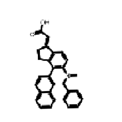 CN(Cc1ccccc1)c1ccc2c(c1-c1ccc3ccccc3c1)CCC2=CC(=O)O